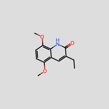 CCc1cc2c(OC)ccc(OC)c2[nH]c1=O